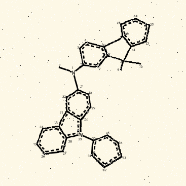 CN(c1ccc2c(c1)C(C)(C)c1ccccc1-2)c1ccc2c(c1)c1ccccc1n2-c1ccccc1